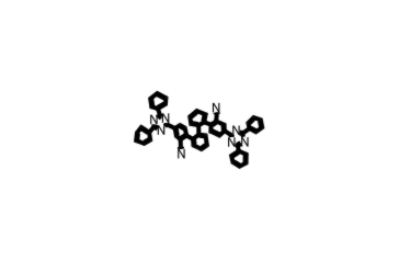 N#Cc1cc(-c2nc(-c3ccccc3)nc(-c3ccccc3)n2)ccc1-c1ccccc1-c1ccccc1-c1ccc(-c2nc(-c3ccccc3)nc(-c3ccccc3)n2)cc1C#N